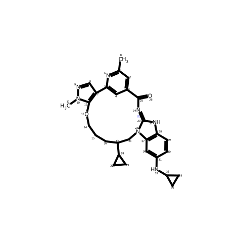 Cc1cc2cc(n1)-c1cnn(C)c1OCCCC(C1CC1)CN1/C(=N/C2=O)Nc2ccc(NC3CC3)cc21